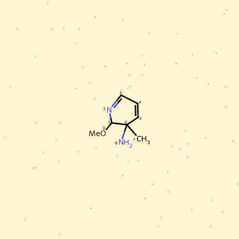 COC1N=CC=CC1(C)N